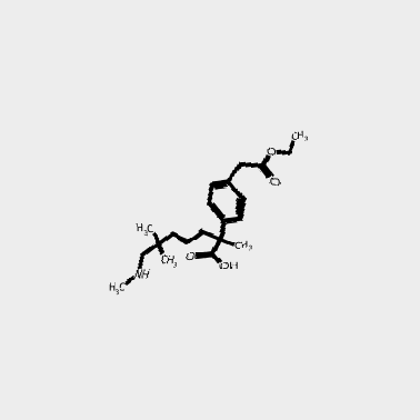 CCOC(=O)Cc1ccc(C(C)(CCCC(C)(C)CNC)C(=O)O)cc1